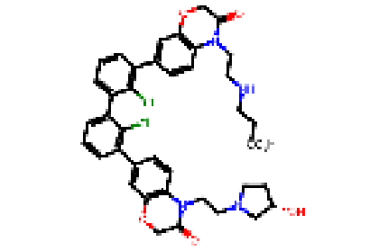 O=C(O)CCNCCN1C(=O)COc2cc(-c3cccc(-c4cccc(-c5ccc6c(c5)OCC(=O)N6CCN5CC[C@H](O)C5)c4Cl)c3Cl)ccc21